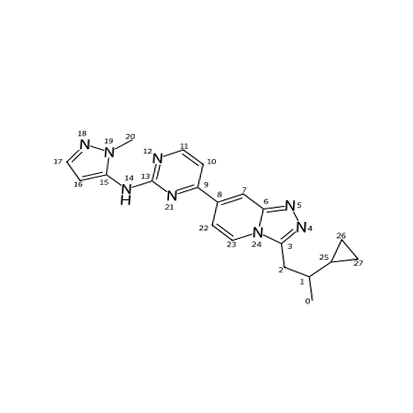 CC(Cc1nnc2cc(-c3ccnc(Nc4ccnn4C)n3)ccn12)C1CC1